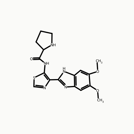 COc1cc2nc(-c3ncsc3NC(=O)C3CCCN3)[nH]c2cc1OC